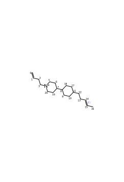 C=CCCN1CCC(C2CCC(CC/C=C/C)CC2)CC1